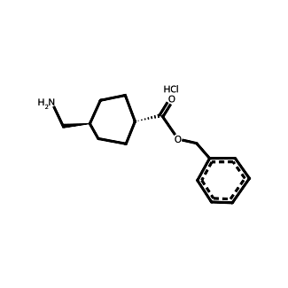 Cl.NC[C@H]1CC[C@H](C(=O)OCc2ccccc2)CC1